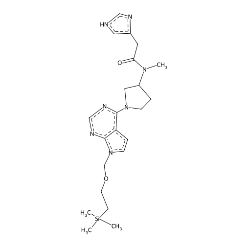 CN(C(=O)Cc1c[nH]cn1)C1CCN(c2ncnc3c2ccn3COCC[Si](C)(C)C)C1